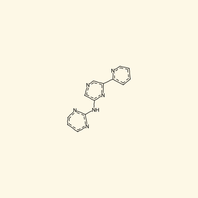 c1ccc(-c2cncc(Nc3ncccn3)n2)nc1